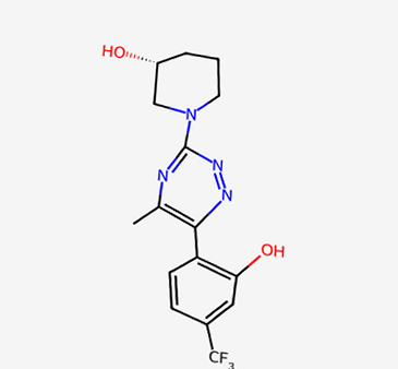 Cc1nc(N2CCC[C@@H](O)C2)nnc1-c1ccc(C(F)(F)F)cc1O